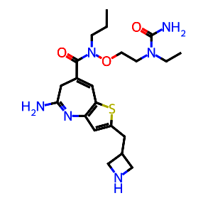 CCCN(OCCN(CC)C(N)=O)C(=O)C1=Cc2sc(CC3CNC3)cc2N=C(N)C1